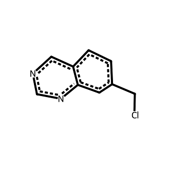 ClCc1ccc2cncnc2c1